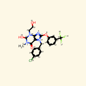 CN1C(=O)c2c(nc(Oc3cccc(C(F)(F)F)c3)n2Cc2ccc(Cl)cc2)N(CCO)C1O